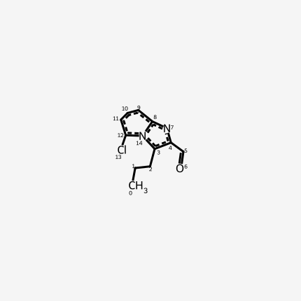 CCCc1c(C=O)nc2cccc(Cl)n12